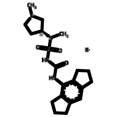 CN1CC[C@H](N(C)S(=O)(=O)NC(=O)Nc2c3c(cc4c2CCC4)CCC3)C1.[K]